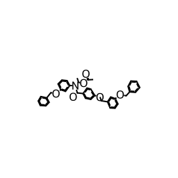 CC(=O)OC(C)N(C(=O)c1ccc(OCc2cccc(OCc3ccccc3)c2)cc1)c1cccc(OCc2ccccc2)c1